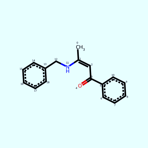 CC(=CC(=O)c1ccccc1)NCc1ccccc1